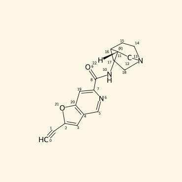 C#Cc1cc2cnc(C(=O)N[C@H]3CN4CCC3CC4)cc2o1